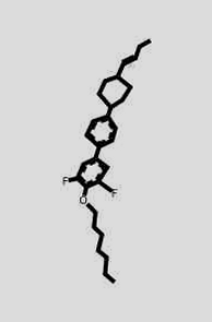 CC/C=C/C1CCC(c2ccc(-c3cc(F)c(OCCCCCCC)c(F)c3)cc2)CC1